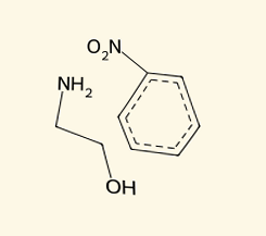 NCCO.O=[N+]([O-])c1ccccc1